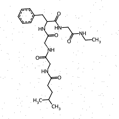 CCNC(=O)CNC(=O)C(Cc1ccccc1)NC(=O)CNC(=O)CNC(=O)CCC(C)C